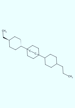 CCCC1CCC(C23CCC([C@H]4CC[C@H](CC)CC4)(CC2)CC3)CC1